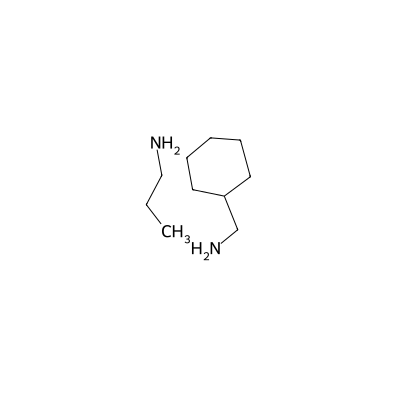 CCCN.NCC1CCCCC1